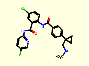 O=C(O)NCC1(c2ccc(C(=O)Nc3ccc(Cl)cc3C(=O)Nc3ccc(Cl)cn3)cc2)CC1